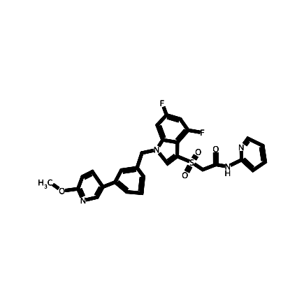 COc1ccc(-c2cccc(Cn3cc(S(=O)(=O)CC(=O)Nc4ccccn4)c4c(F)cc(F)cc43)c2)cn1